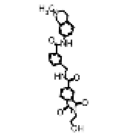 CN1CCc2ccc(NC(=O)c3cccc(CNC(=O)c4ccc5c(c4)C(=O)N(CCO)C5=O)c3)cc2C1